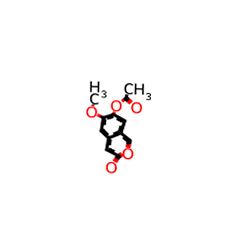 COc1cc2cc(=O)occ2cc1OC(C)=O